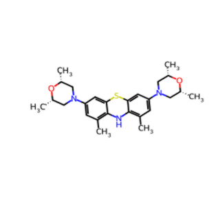 Cc1cc(N2C[C@@H](C)O[C@@H](C)C2)cc2c1Nc1c(C)cc(N3C[C@@H](C)O[C@@H](C)C3)cc1S2